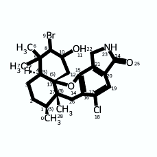 C[C@H]1CC[C@H]2C(C)(C)C(Br)C(O)C[C@]23Oc2c(c(Cl)cc4c2CNC4=O)C[C@]13C